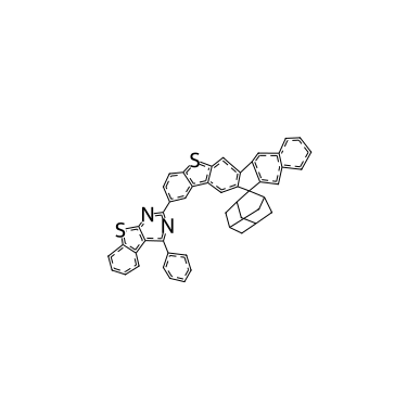 c1ccc(-c2nc(-c3ccc4sc5cc6c(cc5c4c3)C3(c4cc5ccccc5cc4-6)C4CC5CC(C4)CC3C5)nc3sc4ccccc4c23)cc1